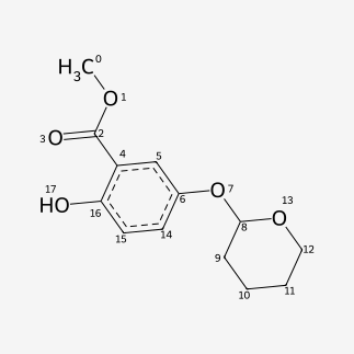 COC(=O)c1cc(OC2CCCCO2)ccc1O